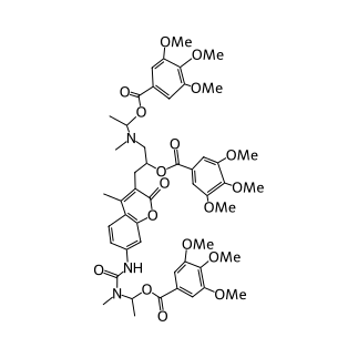 COc1cc(C(=O)OC(Cc2c(C)c3ccc(NC(=O)N(C)C(C)OC(=O)c4cc(OC)c(OC)c(OC)c4)cc3oc2=O)CN(C)C(C)OC(=O)c2cc(OC)c(OC)c(OC)c2)cc(OC)c1OC